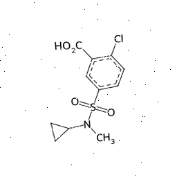 CN(C1CC1)S(=O)(=O)c1ccc(Cl)c(C(=O)O)c1